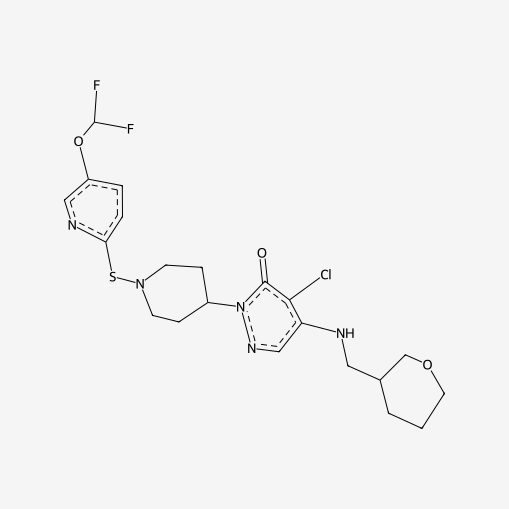 O=c1c(Cl)c(NCC2CCCOC2)cnn1C1CCN(Sc2ccc(OC(F)F)cn2)CC1